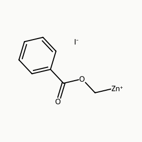 O=C(O[CH2][Zn+])c1ccccc1.[I-]